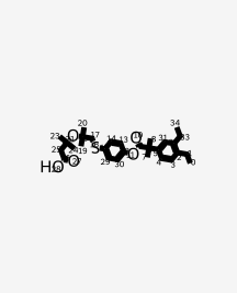 CCc1ccc(C(C)(C)C(=O)Oc2ccc(SCC(C)(C)OC(C)(C)CC(=O)O)cc2)cc1CC